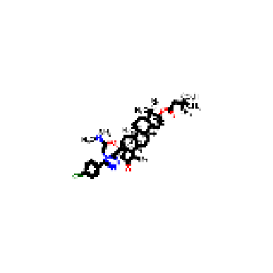 CC(C)C1=C2[C@H]3CC[C@@H]4[C@@]5(C)CC[C@H](OC(=O)CC(C)(C)C(=O)O)C(C)(C)C5CC[C@@]4(C)[C@]3(C)CCC2([C@@H](O)c2nnc(-c3ccc(Cl)cc3)n2CCN(C)C)CC1=O